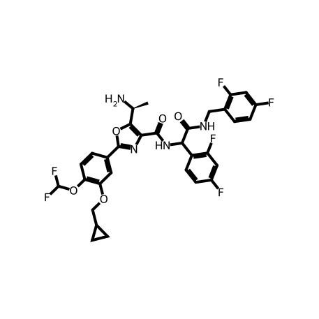 C[C@H](N)c1oc(-c2ccc(OC(F)F)c(OCC3CC3)c2)nc1C(=O)NC(C(=O)NCc1ccc(F)cc1F)c1ccc(F)cc1F